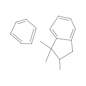 CC1Cc2ccccc2C1(C)C.c1ccccc1